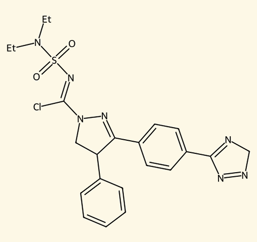 CCN(CC)S(=O)(=O)/N=C(\Cl)N1CC(c2ccccc2)C(c2ccc(C3=NCN=N3)cc2)=N1